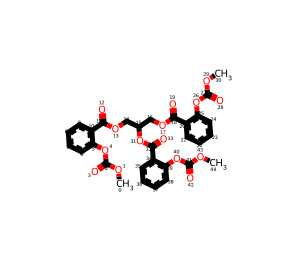 COC(=O)Oc1ccccc1C(=O)OCC(COC(=O)c1ccccc1OC(=O)OC)OC(=O)c1ccccc1OC(=O)OC